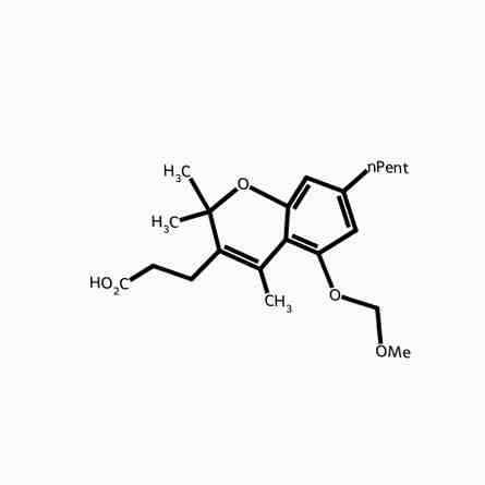 CCCCCc1cc(OCOC)c2c(c1)OC(C)(C)C(CCC(=O)O)=C2C